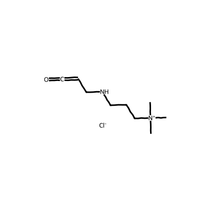 C[N+](C)(C)CCCNCC=C=O.[Cl-]